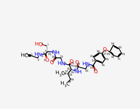 C#CCNC(=O)[C@H](CO)NC(=O)CNC(=O)[C@@H](NC(=O)CNC(=O)c1ccc(Oc2ccccc2)cc1)[C@@H](C)CC